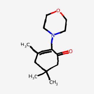 CC1=C(N2CCOCC2)C(=O)CC(C)(C)C1